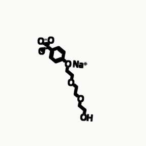 O=S(=O)([O-])c1ccc(OCCOCCOCCO)cc1.[Na+]